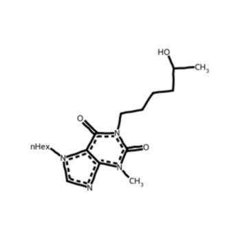 CCCCCCn1cnc2c1c(=O)n(CCCCC(C)O)c(=O)n2C